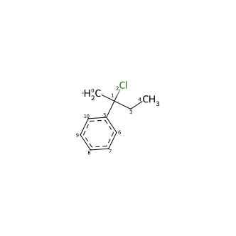 [CH2]C(Cl)(CC)c1ccccc1